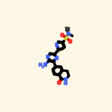 CCN(C)S(=O)(=O)c1ccc(-c2cnc(N)c(-c3ccc4c(c3)CCNC4=O)n2)nc1